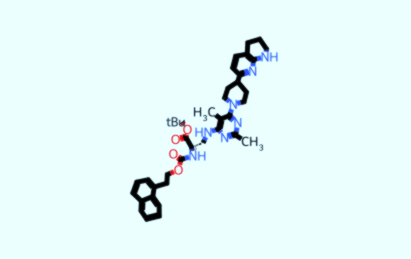 Cc1nc(NC[C@H](NC(=O)OCCc2cccc3ccccc23)C(=O)OC(C)(C)C)c(C)c(N2CCC(c3ccc4c(n3)NCCC4)CC2)n1